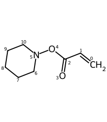 C=CC(=O)ON1CCCCC1